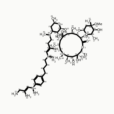 CC[C@H]1OC(=O)[C@H](C)[C@@H](O[C@H]2C[C@@](C)(OC)[C@@H](O)[C@H](C)O2)[C@H](C)[C@@H](O[C@@H]2O[C@H](C)C[C@H](N(C)CC/C(N)=C/N(N)CCCCc3ccc(N(N)/C=C(\N)CN)cc3)[C@H]2O)[C@](C)(O)C[C@@H](C)CN(C)[C@H](C)[C@@H](O)[C@]1(C)O